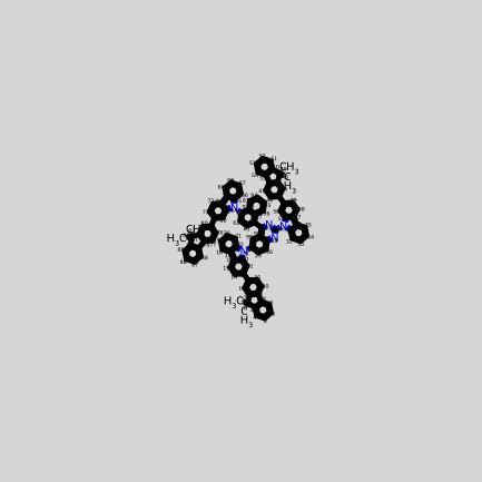 CC1(C)c2ccccc2-c2ccc(-c3ccc4c5ccccc5n(-c5ccc6nc(-n7c8ccccc8c8ccc(-c9ccc%10c(c9)C(C)(C)c9ccccc9-%10)cc87)nc(-c7ccc(-n8c9ccccc9c9ccc(-c%10ccc%11c(c%10)C(C)(C)c%10ccccc%10-%11)cc98)c8ccccc78)c6c5)c4c3)cc21